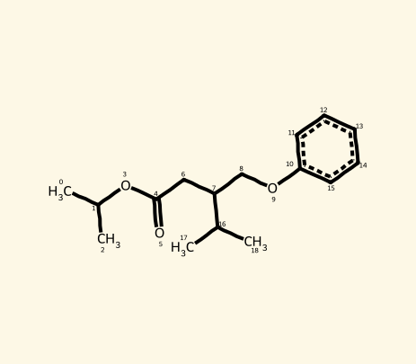 CC(C)OC(=O)CC(COc1ccccc1)C(C)C